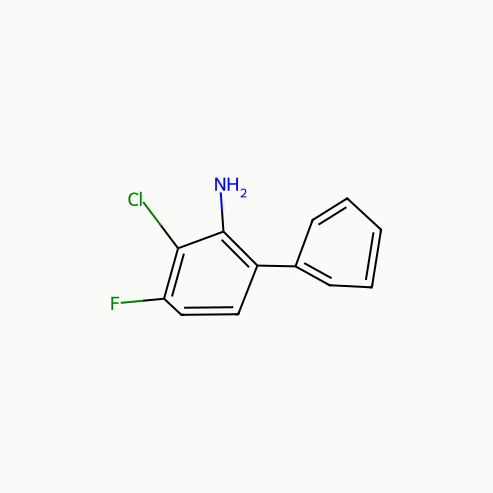 Nc1c(-c2ccccc2)ccc(F)c1Cl